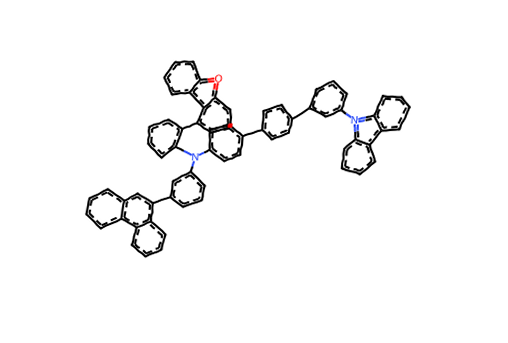 c1cc(-c2cc3ccccc3c3ccccc23)cc(N(c2ccc(-c3ccc(-c4cccc(-n5c6ccccc6c6ccccc65)c4)cc3)cc2)c2ccccc2-c2cccc3oc4ccccc4c23)c1